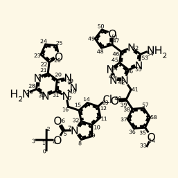 CC(C)(C)OC(=O)n1ccc2cc(Cl)cc(Cn3nnc4c(-c5ccco5)nc(N)nc43)c21.COc1ccc(C(=O)Cn2nnc3c(-c4ccco4)nc(N)nc32)cc1